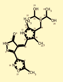 Cc1cc(C2=NNC(=O)C2=Cc2[nH]c(C)c(CN(C(C)O)C(C)O)c2C)no1